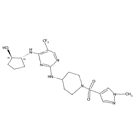 Cn1cc(S(=O)(=O)N2CCC(Nc3ncc(C(F)(F)F)c(N[C@@H]4CCC[C@H]4O)n3)CC2)cn1